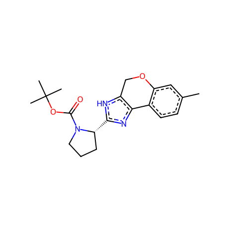 Cc1ccc2c(c1)OCc1[nH]c([C@@H]3CCCN3C(=O)OC(C)(C)C)nc1-2